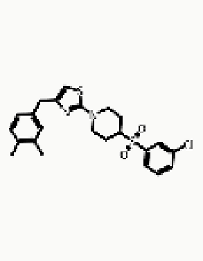 Cc1ccc(Cc2csc(N3CCC(S(=O)(=O)c4cccc(Cl)c4)CC3)n2)cc1C